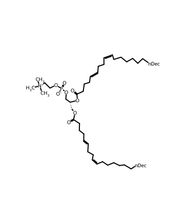 CCCCCCCCCCCCCCCC/C=C\CC/C=C/CCCC(=O)OC[C@H](COP(=O)([O-])OCC[N+](C)(C)C)OC(=O)CCC/C=C/CC/C=C\CCCCCCCCCCCCCCCC